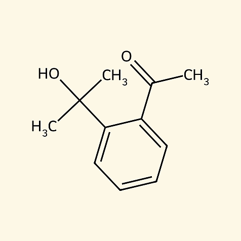 CC(=O)c1ccccc1C(C)(C)O